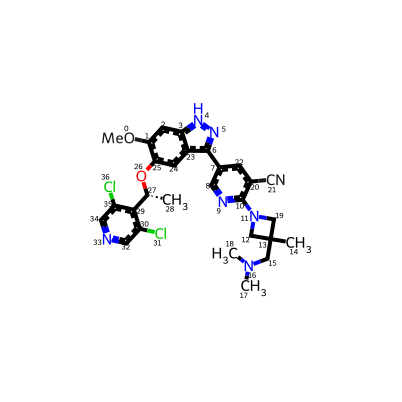 COc1cc2[nH]nc(-c3cnc(N4CC(C)(CN(C)C)C4)c(C#N)c3)c2cc1O[C@H](C)c1c(Cl)cncc1Cl